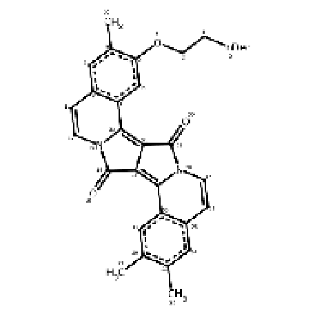 CCCCCCCCCCCCOc1cc2c(cc1C)C=CN1C(=O)C3=C4c5cc(C)c(C)cc5C=CN4C(=O)C3=C21